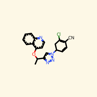 CC(Oc1ccnc2ccccc12)c1cn(C2C=CC(C#N)=C(Cl)C2)nn1